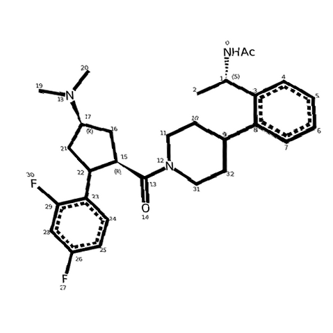 CC(=O)N[C@@H](C)c1ccccc1C1CCN(C(=O)[C@@H]2C[C@H](N(C)C)CC2c2ccc(F)cc2F)CC1